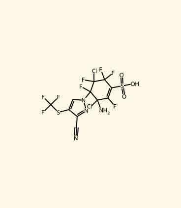 N#Cc1nn(C2(F)C(N)(Cl)C(F)=C(S(=O)(=O)O)C(F)(F)C2(F)Cl)cc1SC(F)(F)F